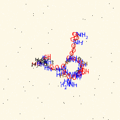 C/C(=N/O)C(C)(C)NCCC(CCNC(=O)CCCC(=O)NCCCC[C@@H]1NC(=O)CSCC[C@@H](C(=O)NCCOCCOCCOCCNC(=O)COCC(N)=O)NC(=O)[C@H](Cc2ccccc2)NC(=O)[C@H](CS)NC(=O)[C@H](CC(=O)O)NC(=O)CNC(=O)[C@H](CCCNC(=N)N)NC(=O)[C@H](CS)NC1=O)CCNC(C)(C)/C(C)=N\O